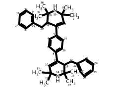 CC1(C)C=C(c2ccc(C3=CC(C)(C)NC(C)(C)C3Cc3ccccc3)cc2)C(Cc2ccccc2)C(C)(C)N1